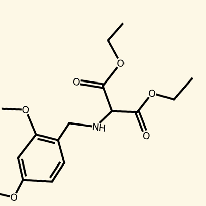 CCOC(=O)C(NCc1ccc(OC)cc1OC)C(=O)OCC